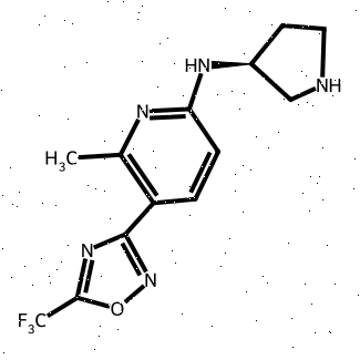 Cc1nc(N[C@H]2CCNC2)ccc1-c1noc(C(F)(F)F)n1